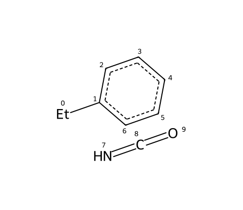 CCc1ccccc1.N=C=O